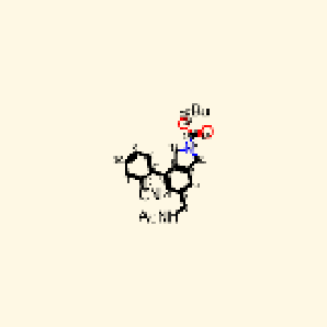 CC(=O)NCc1cc2c(c(-c3ccccc3C#N)c1)CN(C(=O)OC(C)(C)C)C2